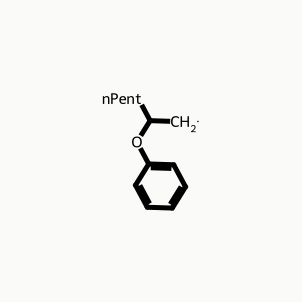 [CH2]C(CCCCC)Oc1ccccc1